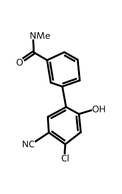 CNC(=O)c1cccc(-c2cc(C#N)c(Cl)cc2O)c1